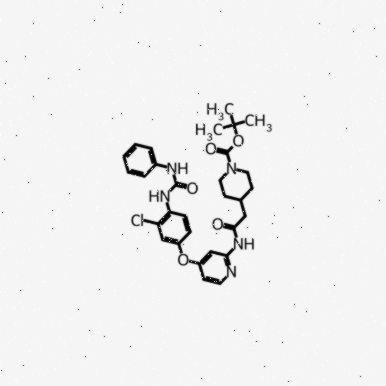 CC(C)(C)OC(=O)N1CCC(CC(=O)Nc2cc(Oc3ccc(NC(=O)Nc4ccccc4)c(Cl)c3)ccn2)CC1